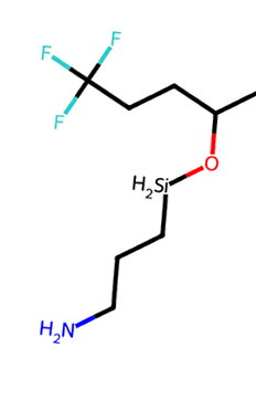 CC(CCC(F)(F)F)O[SiH2]CCCN